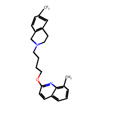 Cc1cccc2ccc(OCCCCN3CCc4cc(C(F)(F)F)ccc4C3)nc12